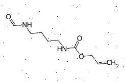 C=CCOC(=O)NCCCCNC=O